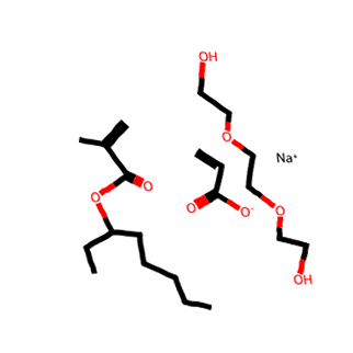 C=C(C)C(=O)OC(CC)CCCCC.C=CC(=O)[O-].OCCOCCOCCO.[Na+]